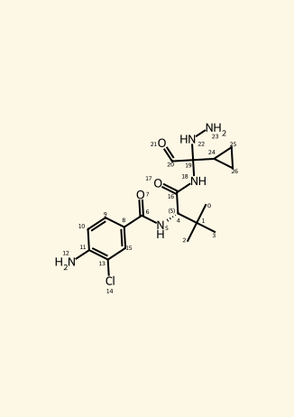 CC(C)(C)[C@H](NC(=O)c1ccc(N)c(Cl)c1)C(=O)NC(C=O)(NN)C1CC1